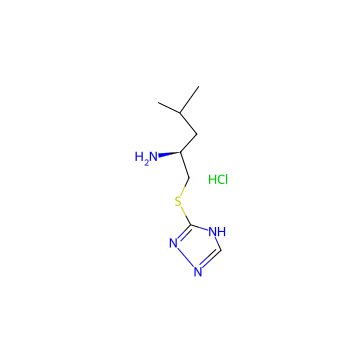 CC(C)C[C@H](N)CSc1nnc[nH]1.Cl